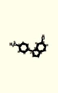 Cc1ccc(-n2ccc3ccc(Cl)cc32)cc1